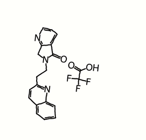 O=C(O)C(F)(F)F.O=C1c2cccnc2CN1CCc1ccc2ccccc2n1